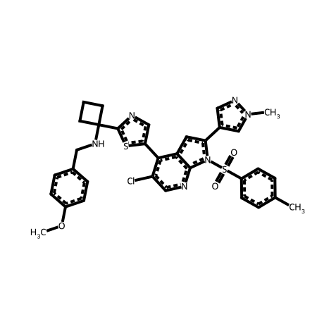 COc1ccc(CNC2(c3ncc(-c4c(Cl)cnc5c4cc(-c4cnn(C)c4)n5S(=O)(=O)c4ccc(C)cc4)s3)CCC2)cc1